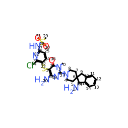 Cn1c(N2CCC3(CC2)Cc2ccccc2[C@H]3N)nc(N)c(Sc2ccc(NS(C)(=O)=O)nc2Cl)c1=O